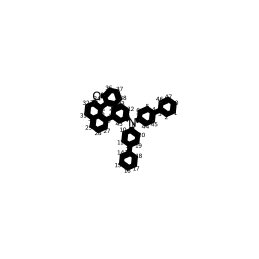 c1ccc(-c2ccc(N(c3ccc(-c4ccccc4)cc3)c3cccc(-c4cccc5ccc6oc7ccccc7c6c45)c3)cc2)cc1